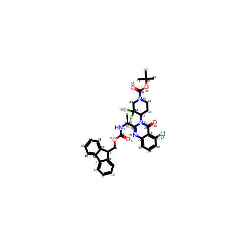 C[C@H](NC(=O)OCC1c2ccccc2-c2ccccc21)c1nc2cccc(Cl)c2c(=O)n1C1CCN(C(=O)OC(C)(C)C)CC1(F)F